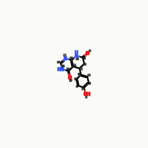 O=C1CC(c2ccc(O)cc2)c2c(nc[nH]c2=O)N1